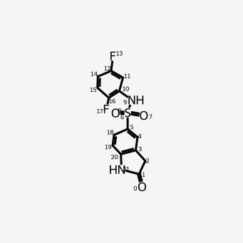 O=C1Cc2cc(S(=O)(=O)Nc3cc(F)ccc3F)ccc2N1